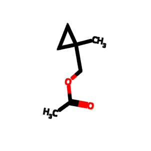 CC(=O)OCC1(C)CC1